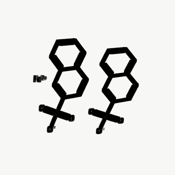 O=S(=O)([O-])c1ccc2ccccc2c1.O=S(=O)([O-])c1ccc2ccccc2c1.[Fe+2]